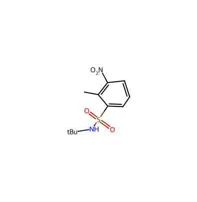 Cc1c([N+](=O)[O-])cccc1S(=O)(=O)NC(C)(C)C